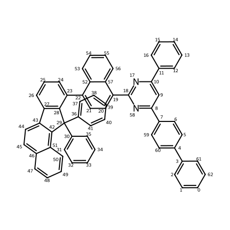 c1ccc(-c2ccc(-c3cc(-c4ccccc4)nc(-c4ccc(-c5cccc6c5C(c5ccccc5)(c5ccccc5)c5c-6ccc6ccccc56)c5ccccc45)n3)cc2)cc1